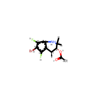 CCC(=O)O[C@@H]1[C@@H](C)c2c(cc(F)c(Br)c2F)NC1(C)C